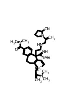 C=C(/C=C/C1=C(/C=C\C)C(CCNCC(=C)N2CCCC2C#N)(C(=N)NC)c2ccc(C(=O)N(C)C)cc2CC1)N(C)C